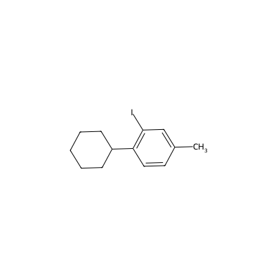 Cc1ccc(C2CCCCC2)c(I)c1